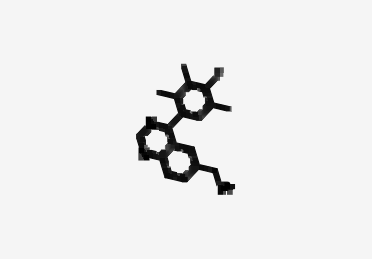 Cc1cc(-c2ncnc3ccc(CC(C)C)cc23)c(C)c(C)c1F